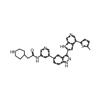 Cc1ccc(-c2cncc3[nH]c(-c4n[nH]c5ccc(-c6cncc(NC(=O)CC7CCNCC7)c6)cc45)cc23)s1